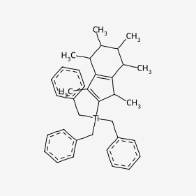 CC1=[C]([Ti]([CH2]c2ccccc2)([CH2]c2ccccc2)[CH2]c2ccccc2)C(C)C2=C1C(C)C(C)C(C)C2C